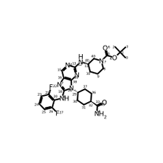 CC(C)(C)OC(=O)N1CCC[C@@H](Nc2ncc3nc(Nc4c(F)cccc4F)n([C@H]4CC[C@H](C(N)=O)CC4)c3n2)C1